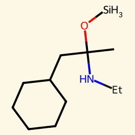 CCNC(C)(CC1CCCCC1)O[SiH3]